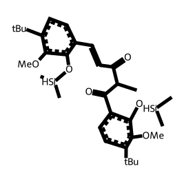 COc1c(C(C)(C)C)ccc(C=CC(=O)C(C)C(=O)c2ccc(C(C)(C)C)c(OC)c2O[SiH](C)C)c1O[SiH](C)C